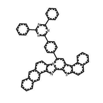 c1ccc(-c2nc(-c3ccccc3)nc(-c3ccc(-c4cc5c(sc6ccc7ccccc7c65)c5nc6c7cc8ccccc8cc7ccc6n45)cc3)n2)cc1